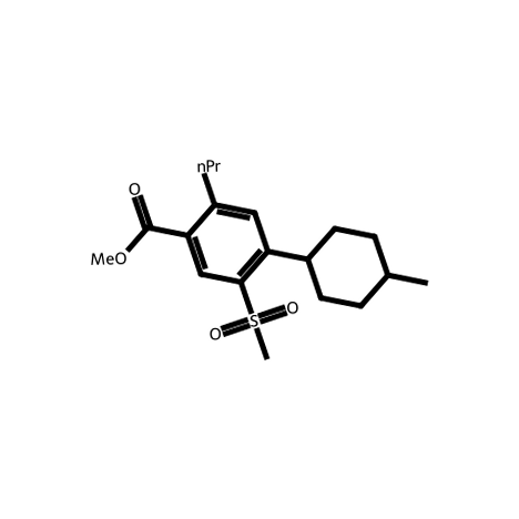 CCCc1cc(C2CCC(C)CC2)c(S(C)(=O)=O)cc1C(=O)OC